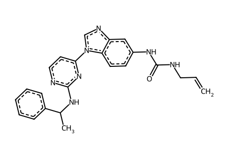 C=CCNC(=O)Nc1ccc2c(c1)ncn2-c1ccnc(NC(C)c2ccccc2)n1